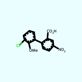 COc1c(Cl)cccc1-c1ccc([N+](=O)[O-])cc1C(=O)O